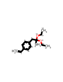 C=Cc1ccc(CC([SiH3])(OCC)OCC)cc1